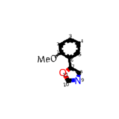 COc1c[c]ccc1-c1cnco1